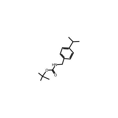 CC(C)c1ccc(CNC(=O)OC(C)(C)C)cc1